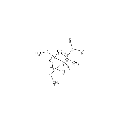 CCC(Cl)(Cl)C(Br)(C(Cl)(Cl)CC)C(C)(C)[C](Br)Br